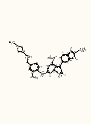 COc1cc(CNC2CN(C)C2)ccc1Nc1nc(OC(C)C)c2c(-c3ccc4nc(C)oc4c3)c[nH]c2n1